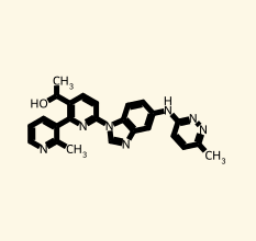 Cc1ccc(Nc2ccc3c(c2)ncn3-c2ccc(C(C)O)c(-c3cccnc3C)n2)nn1